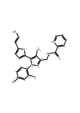 CCCC=Cc1ccc(-c2c(C)c(CNC(=O)c3ccccn3)nn2-c2ccc(Cl)cc2Cl)s1